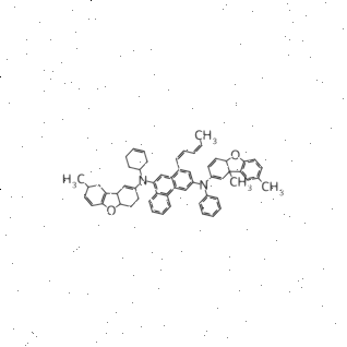 C/C=C\C=C/c1cc(N(C2=CC3(C)c4cc(C)ccc4OC3C=C2)c2ccccc2)cc2c1cc(N(C1=CC3C4=C(C=CC(C)C4)OC3CC1)C1CC=CCC1)c1ccccc12